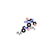 Cc1ccc2c(c1)CCN2C(=O)c1cc2[nH]c(=O)c3cnc(C4CCOC4)n3c2cc1C